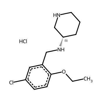 CCOc1ccc(Cl)cc1CN[C@H]1CCCNC1.Cl